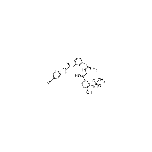 C[C@H](Cc1cccc(CC(=O)NCc2ccc(C#N)cc2)c1)NC[C@H](O)c1ccc(O)c(NS(C)(=O)=O)c1